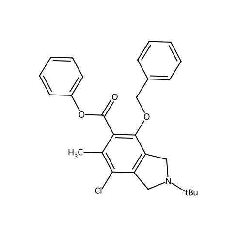 Cc1c(Cl)c2c(c(OCc3ccccc3)c1C(=O)Oc1ccccc1)CN(C(C)(C)C)C2